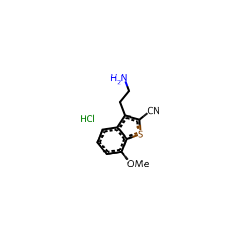 COc1cccc2c(CCN)c(C#N)sc12.Cl